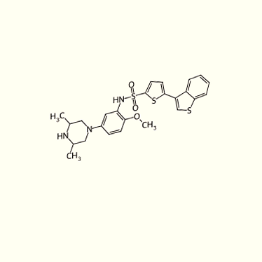 COc1ccc(N2CC(C)NC(C)C2)cc1NS(=O)(=O)c1ccc(-c2csc3ccccc23)s1